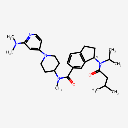 CC(C)CC(=O)N(C(C)C)[C@@H]1CCc2ccc(C(=O)N(C)C3CCN(c4ccnc(N(C)C)c4)CC3)cc21